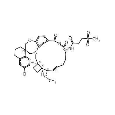 CO[C@H]1/C=C/CCC[S@@](=O)(NC(=O)CCS(C)(=O)=O)=NC(=O)c2ccc3c(c2)N(C[C@@H]2CC[C@H]21)C[C@@]1(CCCc2cc(Cl)ccc21)CO3